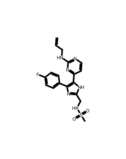 C=CCNc1nccc(-c2[nH]c(CNS(C)(=O)=O)nc2-c2ccc(F)cc2)n1